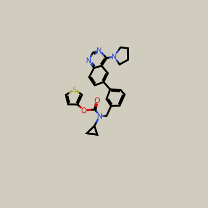 O=C(Oc1ccsc1)N(Cc1cccc(-c2ccc3ncnc(N4CCCC4)c3c2)c1)C1CC1